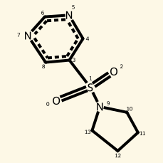 O=S(=O)(c1cncnc1)N1CCCC1